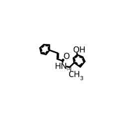 C[C@H](NC(=O)C=Cc1ccccc1)c1cccc(O)c1